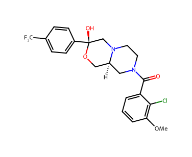 COc1cccc(C(=O)N2CCN3C[C@@](O)(c4ccc(C(F)(F)F)cc4)OC[C@@H]3C2)c1Cl